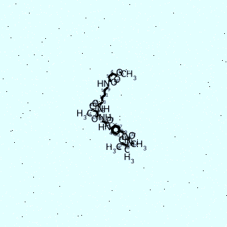 COC(=O)/C=C\C(=O)NCCCCCC(=O)NC(C(=O)NCC(=O)Nc1ccc(COC(=O)N(C)C(C)C(C)C)cc1)C(C)C